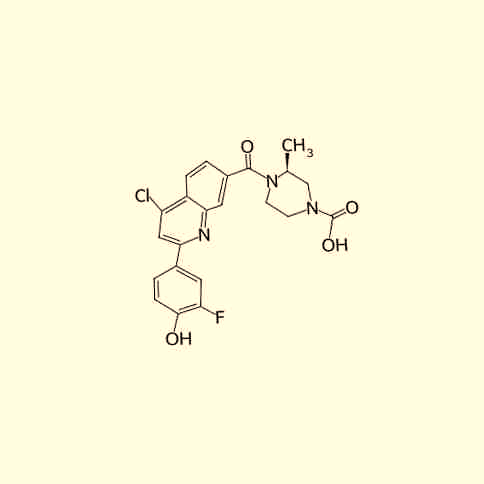 C[C@H]1CN(C(=O)O)CCN1C(=O)c1ccc2c(Cl)cc(-c3ccc(O)c(F)c3)nc2c1